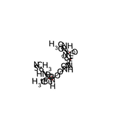 CC(=N)C(=O)N1CCC2=C(C1)C(N1CCCc3cc(-c4cnn(CC(=O)NCCOCCOCCC(=O)N[C@H](C(=O)C5C[C@@H](C)C[C@H]5C(=O)NCc5ccc(-c6scnc6C)cc5)C(C)(C)C)c4)c(C(F)F)cc31)=NC2C1CCOCC1